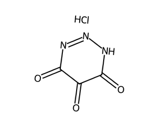 Cl.O=C1N=NNC(=O)C1=O